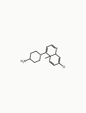 CC12C=CC(Cl)=CC1N=CC=C2N1CCC(N)CC1